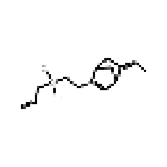 C=CC[Si](Cl)(Cl)CCC1=CC2CC1CC2=CC